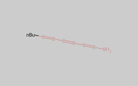 BB=BB=BB=BCCCC